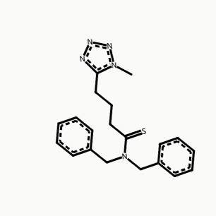 Cn1nnnc1CCCC(=S)N(Cc1ccccc1)Cc1ccccc1